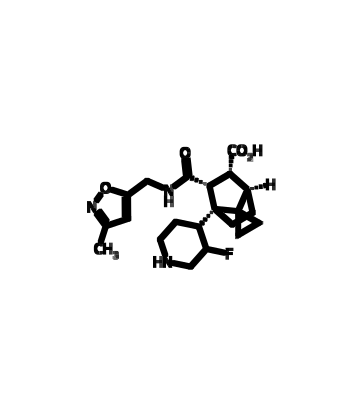 Cc1cc(CNC(=O)[C@@H]2[C@H](C(=O)O)[C@H]3CC[C@]2(C2CCNCC2F)C32CC2)on1